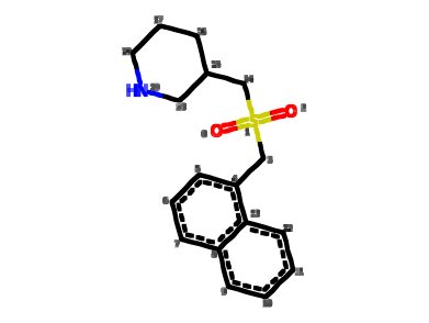 O=S(=O)(Cc1cccc2ccccc12)CC1CCCNC1